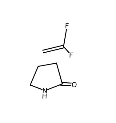 C=C(F)F.O=C1CCCN1